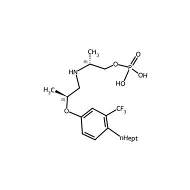 CCCCCCCc1ccc(O[C@@H](C)CN[C@H](C)COP(=O)(O)O)cc1C(F)(F)F